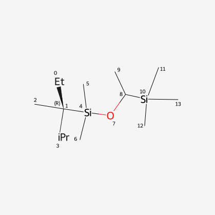 CC[C@](C)(C(C)C)[Si](C)(C)OC(C)[Si](C)(C)C